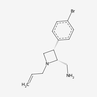 C=CCN1C[C@H](c2ccc(Br)cc2)[C@@H]1CN